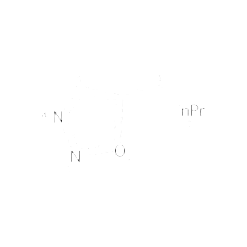 CCCCc1[c]nno1